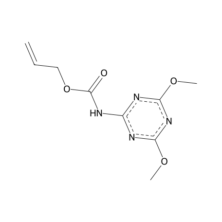 C=CCOC(=O)Nc1nc(OC)nc(OC)n1